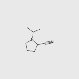 CC(C)N1CCCC1C#N